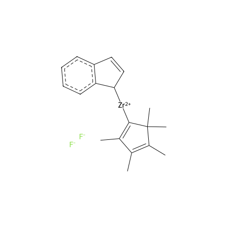 CC1=C(C)C(C)(C)[C]([Zr+2][CH]2C=Cc3ccccc32)=C1C.[F-].[F-]